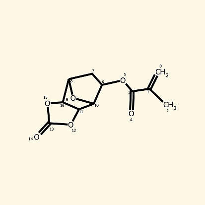 C=C(C)C(=O)OC1CC2OC1C1OC(=O)OC21